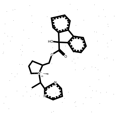 CC(c1ncccn1)[N@@+]1(C)CCCC1COC(=O)C1(O)c2ccccc2-c2ccccc21